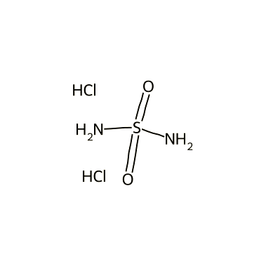 Cl.Cl.NS(N)(=O)=O